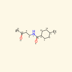 CCC1CCC(C(=O)NCCC(=O)C(C)C)CC1